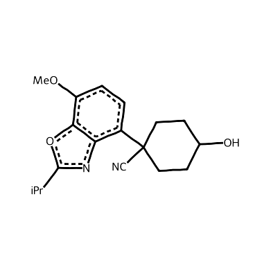 COc1ccc(C2(C#N)CCC(O)CC2)c2nc(C(C)C)oc12